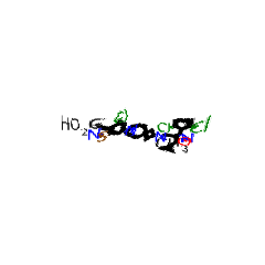 CN(Cc1c(-c2c(Cl)cccc2Cl)noc1C1CC1)C1CC2(C1)CC1CCC(C2)N1c1cc(Cl)c2c(C(=O)O)nsc2c1